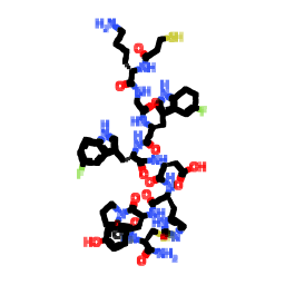 C[C@@]1(C(=O)N[C@@H](CS)C(N)=O)CCCN1C(=O)[C@H](Cc1ccc(O)cc1)NC(=O)[C@H](Cc1cnc[nH]1)NC(=O)[C@H](CC(=O)O)NC(=O)[C@H](Cc1c[nH]c2ccc(F)cc12)NC(=O)[C@H](Cc1c[nH]c2c1C=C(F)CC2)NC(=O)CNC(=O)[C@H](CCCCN)NC(=O)CCS